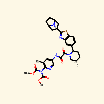 CCc1cc(NC(=O)C(=O)N2C[C@@H](C)CCC2c2ccc3sc(C4CC5CCC(C4)N5C)nc3c2)cnc1N(C(=O)OC(C)(C)C)C(=O)OC(C)(C)C